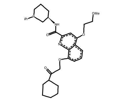 COCCOc1cc(C(=O)N[C@@H]2CCCN(C(C)C)C2)nc2c(OCC(=O)C3CCCCC3)cccc12